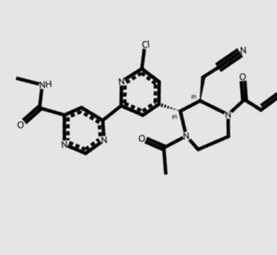 C=CC(=O)N1CCN(C(C)=O)[C@H](c2cc(Cl)nc(-c3cc(C(=O)NC)ncn3)c2)[C@H]1CC#N